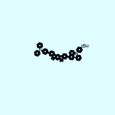 CC(C)(C)c1ccc(B(c2ccccc2)c2cccc3c(-c4ccc5c(c4)C(C)(C)c4cc6c(cc4-5)-c4ccc(-c5ccc(N(c7ccccc7)c7ccccc7)cc5)cc4C6(C)C)cccc23)cc1